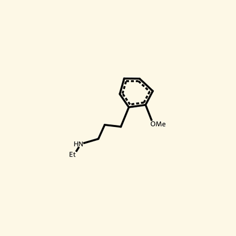 CCNCCCc1ccccc1OC